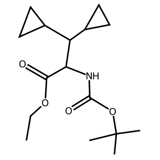 CCOC(=O)C(NC(=O)OC(C)(C)C)C(C1CC1)C1CC1